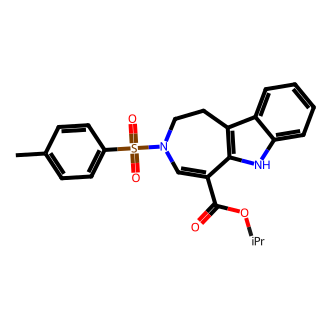 Cc1ccc(S(=O)(=O)N2C=C(C(=O)OC(C)C)c3[nH]c4ccccc4c3CC2)cc1